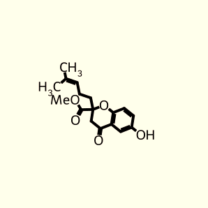 COC(=O)C1(CCC=C(C)C)CC(=O)c2cc(O)ccc2O1